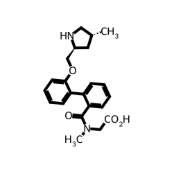 C[C@H]1CN[C@H](COc2ccccc2-c2ccccc2C(=O)N(C)CC(=O)O)C1